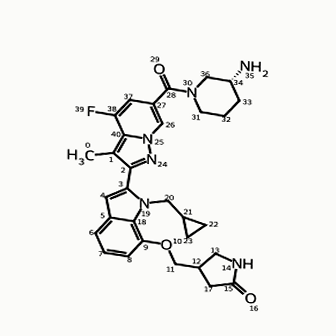 Cc1c(-c2cc3cccc(OCC4CNC(=O)C4)c3n2CC2CC2)nn2cc(C(=O)N3CCC[C@@H](N)C3)cc(F)c12